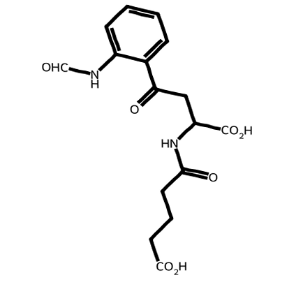 O=CNc1ccccc1C(=O)CC(NC(=O)CCCC(=O)O)C(=O)O